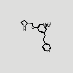 Cl.Cl.c1cc(CCc2cncc(OC[C@@H]3CCN3)c2)ccn1